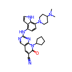 CN(C)C1CCN(c2ccc(Nc3ncc4cc(C#N)c(=O)n(C5CCCC5)c4n3)c3cc[nH]c23)CC1